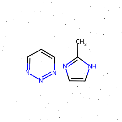 Cc1ncc[nH]1.c1cnnnc1